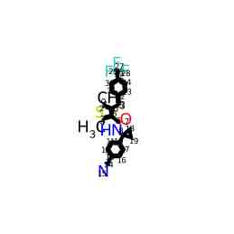 Cc1sc(C)c(C(=O)NC2(c3ccc(C#N)cc3)CC2)c1Cc1ccc(C(F)(F)F)cc1